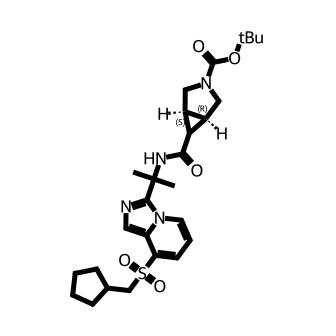 CC(C)(C)OC(=O)N1C[C@@H]2C(C(=O)NC(C)(C)c3ncc4c(S(=O)(=O)CC5CCCC5)cccn34)[C@@H]2C1